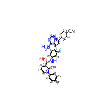 N#CC1CCC(c2cc(-c3ccc(NC(O)c4cccn(-c5ccc(F)cc5)c4=O)cc3F)c3c(N)ncnn23)CC1